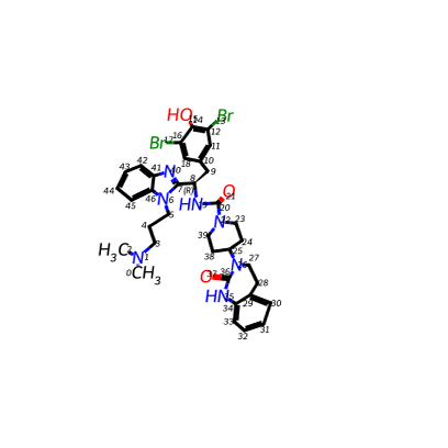 CN(C)CCCn1c([C@@H](Cc2cc(Br)c(O)c(Br)c2)NC(=O)N2CCC(N3CCc4ccccc4NC3=O)CC2)nc2ccccc21